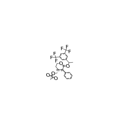 CC(O[C@H]1OCC[C@@H](COS(C)(=O)=O)[C@@H]1c1ccccc1)c1cc(C(F)(F)F)cc(C(F)(F)F)c1